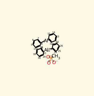 CP(=O)([O-])[O-].c1cc[c]([Al+][c]2ccccc2)cc1.c1cc[c]([Al+][c]2ccccc2)cc1